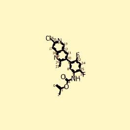 C=C(C)OC(=O)Nc1cc(-c2cc3cnc(Cl)cc3nc2C)c(F)cc1F